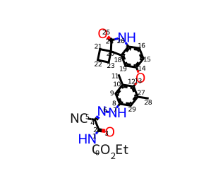 CCOC(=O)NC(=O)C(C#N)=NNc1cc(C)c(Oc2ccc3c(c2)C2(CCC2)C(=O)N3)c(C)c1